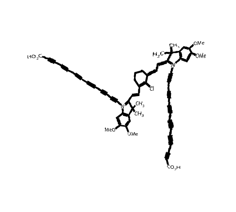 COc1cc2c(cc1OC)C(C)(C)/C(=C/C=C1\CCCC(/C=C/C3=[N+](C#CC#CC#CC#CC#CC#CC(=O)O)c4cc(OC)c(OC)cc4C3(C)C)=C1Cl)N2C#CC#CC#CC#CC#CC#CC(=O)O